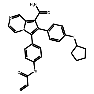 C=CC(=O)Nc1ccc(-c2c(-c3ccc(OC4CCCC4)cc3)c(C(N)=O)c3cnccn23)cc1